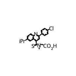 CC(C)c1ccc2nc(-c3ccc(Cl)cc3)cc(C(=S)N(C)CC(=O)O)c2c1